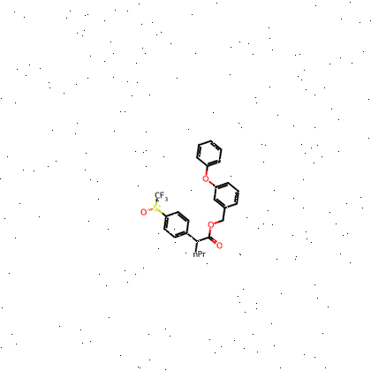 CCCC(C(=O)OCc1cccc(Oc2ccccc2)c1)c1ccc([S+]([O-])C(F)(F)F)cc1